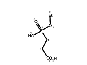 CCOP(=O)(O)CCC(=O)O